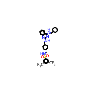 O=S(=O)(NC[C@H]1CC[C@H](CNc2nc(NCC3CCCCC3)c3ccccc3n2)CC1)c1cc(C(F)(F)F)cc(C(F)(F)F)c1